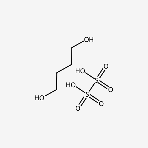 O=S(=O)(O)S(=O)(=O)O.OCCCCO